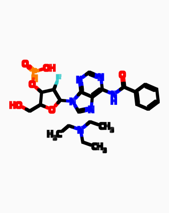 CCN(CC)CC.O=C(Nc1ncnc2c1ncn2C1OC(CO)C(O[PH](=O)O)C1F)c1ccccc1